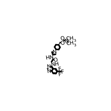 CN(C)C(=O)OC[C@H]1CC[C@@H](N2CC(NC(=O)CNc3ncnc4ccc(C(F)(F)F)cc34)C2)CC1